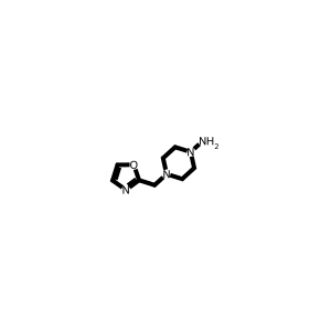 NN1CCN(Cc2ncco2)CC1